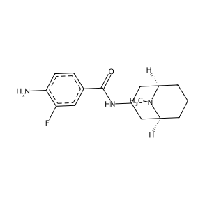 CN1[C@@H]2CCC[C@H]1CC(NC(=O)c1ccc(N)c(F)c1)C2